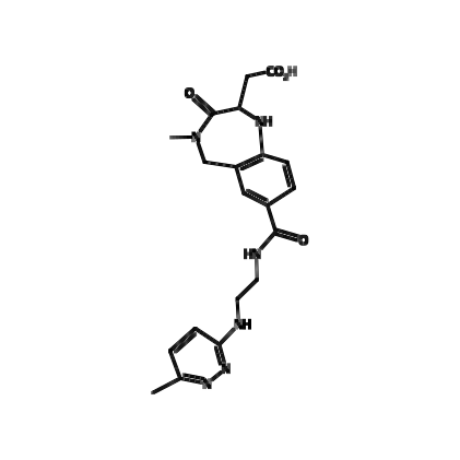 Cc1ccc(NCCNC(=O)c2ccc3c(c2)CN(C)C(=O)C(CC(=O)O)N3)nn1